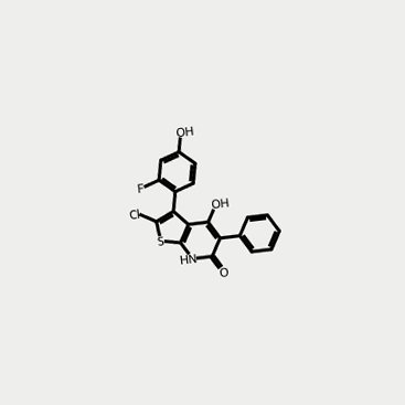 O=c1[nH]c2sc(Cl)c(-c3ccc(O)cc3F)c2c(O)c1-c1ccccc1